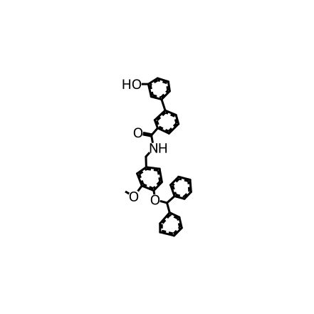 COc1cc(CNC(=O)c2cccc(-c3cccc(O)c3)c2)ccc1OC(c1ccccc1)c1ccccc1